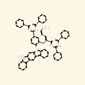 N/C=C\C=C(/Cc1cc(-c2nc(-c3ccccc3)nc(-c3ccccc3)n2)ccc1-n1c2ccccc2c2cc3c(cc21)[nH]c1ccccc13)c1nc(-c2ccccc2)nc(-c2ccccc2)n1